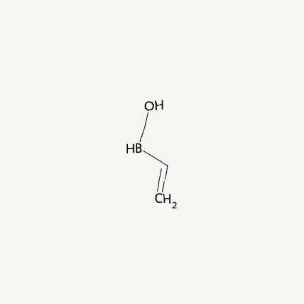 C=CBO